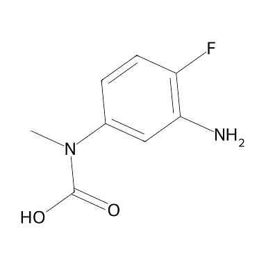 CN(C(=O)O)c1ccc(F)c(N)c1